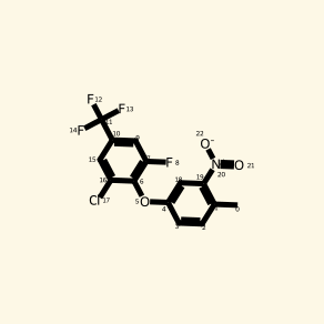 Cc1ccc(Oc2c(F)cc(C(F)(F)F)cc2Cl)cc1[N+](=O)[O-]